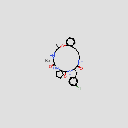 CCC(C)[C@@H]1NC[C@@H](C)Oc2ccccc2CCCNC(=O)[C@@H](Cc2cccc(Cl)c2)NC(=O)C2(CCCC2)NC1=O